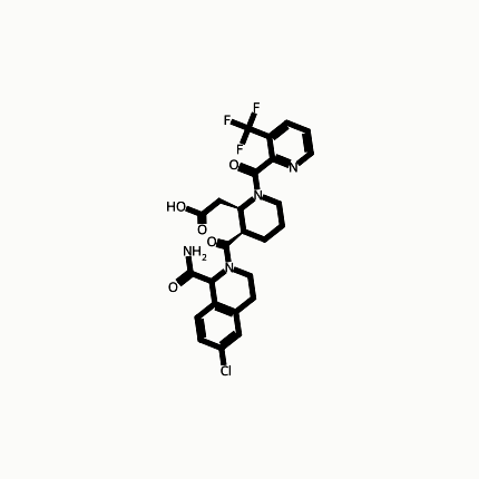 NC(=O)C1c2ccc(Cl)cc2CCN1C(=O)[C@@H]1CCCN(C(=O)c2ncccc2C(F)(F)F)[C@@H]1CC(=O)O